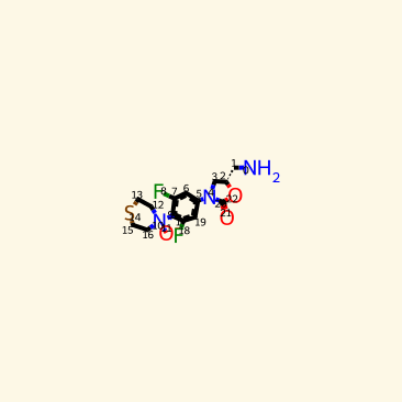 NC[C@H]1CN(c2cc(F)c([N+]3([O-])CCSCC3)c(F)c2)C(=O)O1